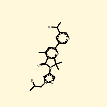 Cc1cc(-c2cncc(C(C)O)c2)nc2c1C(=O)N(c1cnn(CC(C)F)c1)C2(C)C